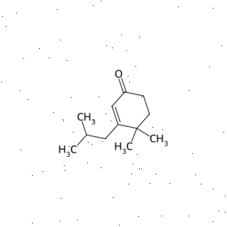 CC(C)CC1=CC(=O)CCC1(C)C